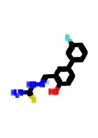 NC(=S)N/N=C/c1cc(-c2cccc(F)c2)ccc1O